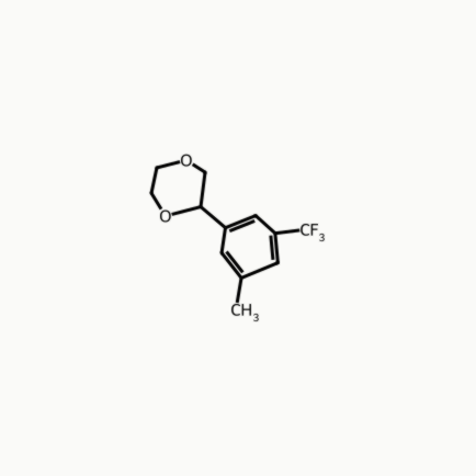 Cc1cc(C2COCCO2)cc(C(F)(F)F)c1